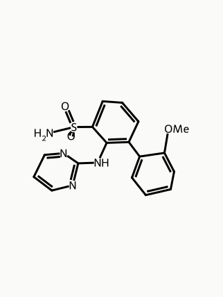 COc1ccccc1-c1cccc(S(N)(=O)=O)c1Nc1ncccn1